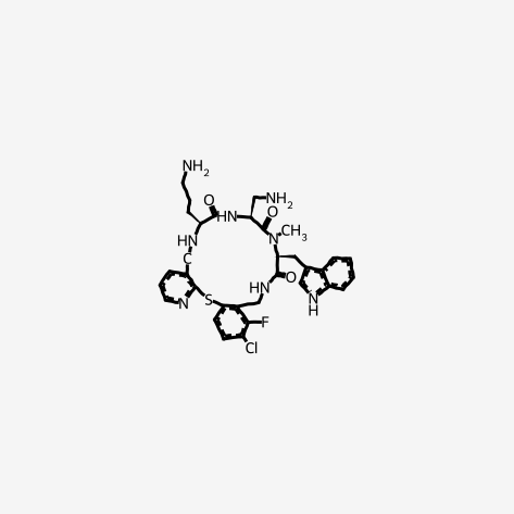 CN1C(=O)[C@H](CN)NC(=O)[C@H](CCCN)NCc2cccnc2Sc2ccc(Cl)c(F)c2CNC(=O)[C@@H]1Cc1c[nH]c2ccccc12